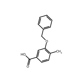 Cc1ccc(C(=O)O)cc1OCc1ccccc1